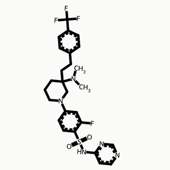 CN(C)C1(CCc2ccc(C(F)(F)F)cc2)CCCN(c2ccc(S(=O)(=O)Nc3ccncn3)c(F)c2)C1